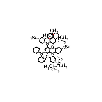 Cc1cc2c(cc1N1c3ccc(C(C)(C)C)cc3B3c4cc5c(cc4N(c4ccc(C(C)(C)C)cc4-c4ccccc4)c4cc(N(c6ccccc6)c6ccccc6)cc1c43)C(C)(C)CCC5(C)C)C(C)(C)CC2(C)C